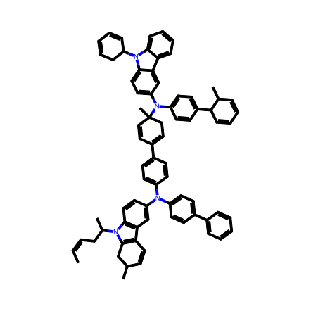 C/C=C\CC(C)n1c2c(c3cc(N(c4ccc(C5=CCC(C)(N(c6ccc(C7C=CC=CC7C)cc6)c6ccc7c(c6)c6ccccc6n7C6C=CC=CC6)C=C5)cc4)c4ccc(-c5ccccc5)cc4)ccc31)C=CC(C)C2